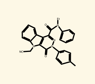 CCN(C(=O)c1nn(-c2ccc(C)cc2)c(=O)c2c1c1ccccc1n2CC#N)c1ccccc1